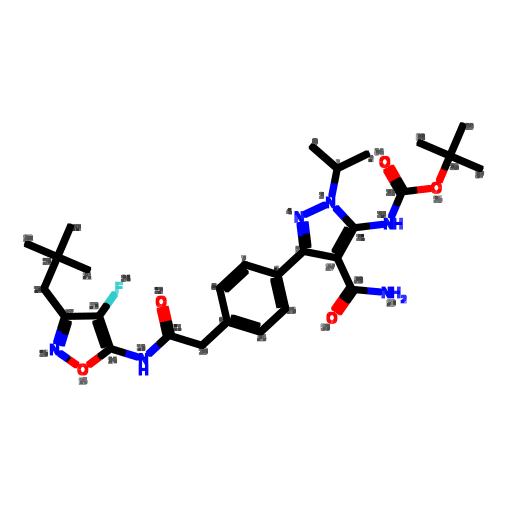 CC(C)n1nc(-c2ccc(CC(=O)Nc3onc(CC(C)(C)C)c3F)cc2)c(C(N)=O)c1NC(=O)OC(C)(C)C